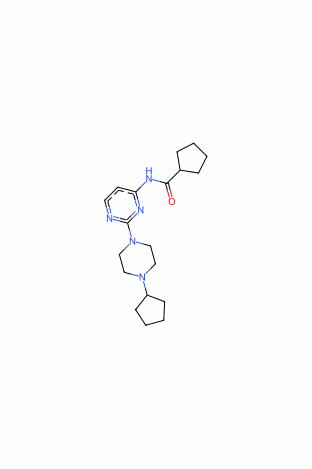 O=C(Nc1ccnc(N2CCN(C3CCCC3)CC2)n1)C1CCCC1